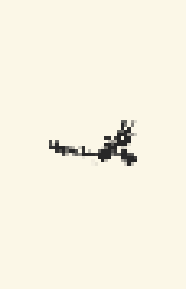 COCCOCCOCCO[C@H]1CCN(C(=O)[C@@H](NC(=O)OC(C)(C)C)c2ccc(C(F)(F)F)cc2)C1